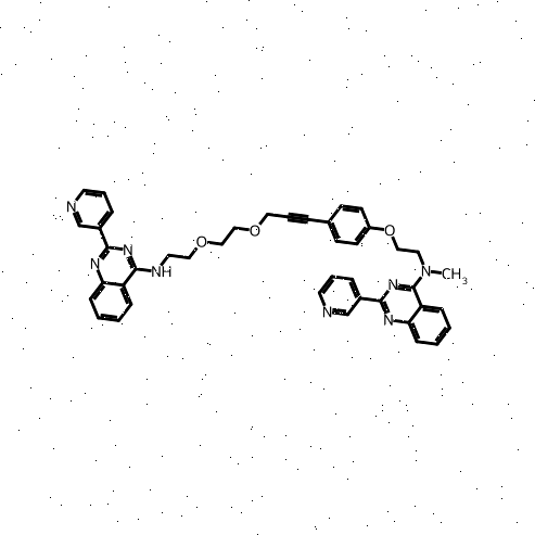 CN(CCOc1ccc(C#CCOCCOCCNc2nc(-c3cccnc3)nc3ccccc23)cc1)c1nc(-c2cccnc2)nc2ccccc12